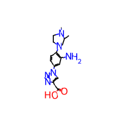 CC1CN(c2ccc(-n3cc(C(=O)O)nn3)cc2N)CCN1C